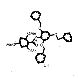 COc1cc(OC)c(C(=O)Pc2c(OCc3ccccc3)cc(OCc3ccccc3)cc2OCc2ccccc2)c(OC)c1.[LiH]